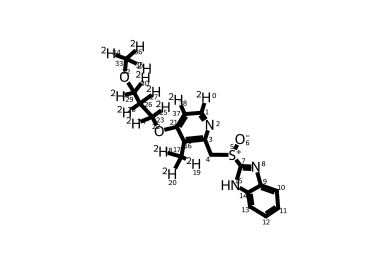 [2H]c1nc(C[S+]([O-])c2nc3ccccc3[nH]2)c(C([2H])([2H])[2H])c(OC([2H])([2H])C([2H])([2H])C([2H])([2H])OC([2H])([2H])[2H])c1[2H]